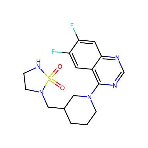 O=S1(=O)NCCN1CC1CCCN(c2ncnc3cc(F)c(F)cc23)C1